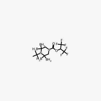 BC1(B)CN(C(=O)OC(C(F)(F)F)C(F)(F)F)CC(B)(B)N1C(C)(C)C